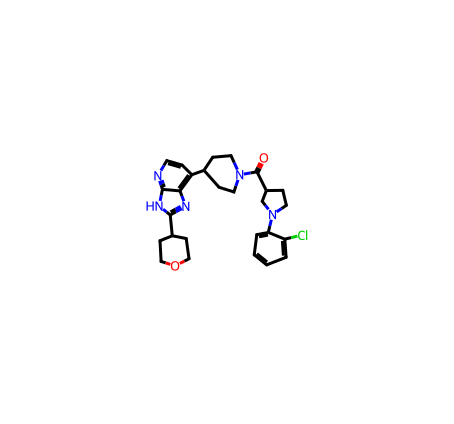 O=C(C1CCN(c2ccccc2Cl)C1)N1CCC(c2ccnc3[nH]c(C4CCOCC4)nc23)CC1